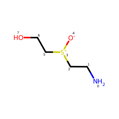 NCC[S+]([O-])CCO